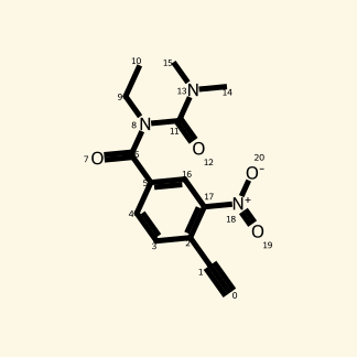 C#Cc1ccc(C(=O)N(CC)C(=O)N(C)C)cc1[N+](=O)[O-]